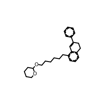 C1=C(c2ccccc2)CCc2cccc(CCCCCCOC3CCCCO3)c21